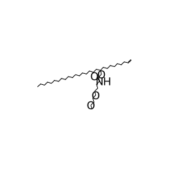 C=CCCCCCCCC(CCCCCCCCCCCCCCCCCC)OC(=O)NCCCOCCOC